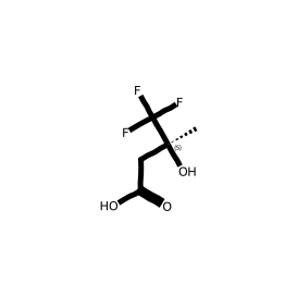 C[C@](O)(CC(=O)O)C(F)(F)F